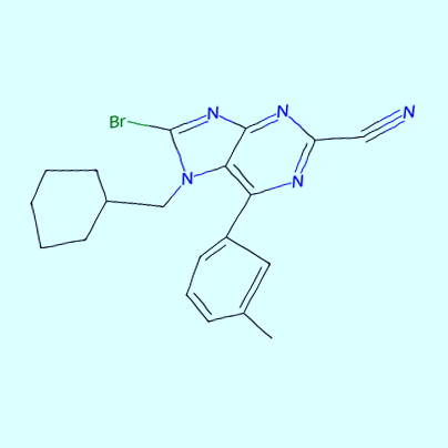 Cc1cccc(-c2nc(C#N)nc3nc(Br)n(CC4CCCCC4)c23)c1